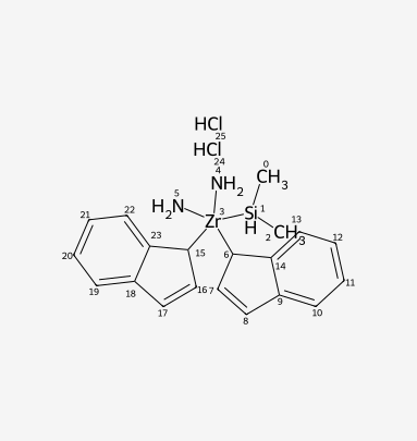 C[SiH](C)[Zr]([NH2])([NH2])([CH]1C=Cc2ccccc21)[CH]1C=Cc2ccccc21.Cl.Cl